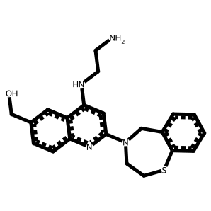 NCCNc1cc(N2CCSc3ccccc3C2)nc2ccc(CO)cc12